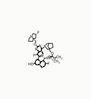 CCc1c(F)ccc2cc(O)cc(-c3ncc4c(N5CC6CCC(COC(=O)N(C)C)(C6)C5)nc(OC[C@@]56CCCN5C[C@H](F)C6)nc4c3F)c12